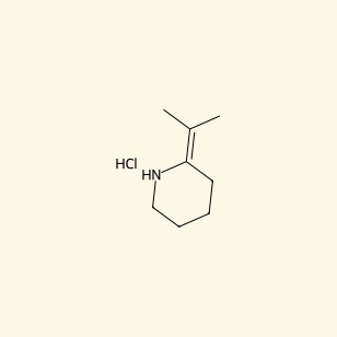 CC(C)=C1CCCCN1.Cl